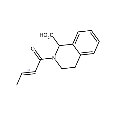 C/C=C/C(=O)N1CCc2ccccc2C1C(=O)O